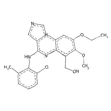 CCOc1cc2c(nc(Nc3c(C)cccc3Cl)c3cncn32)c(CO)c1OC